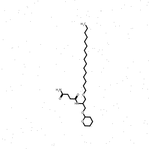 CCCCCCCCCCCCCCCCOCC(COC1CCCCO1)NC(=O)CCC(N)=O